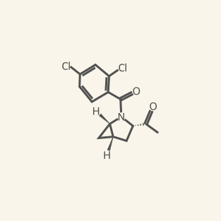 CC(=O)[C@@H]1C[C@@H]2C[C@@H]2N1C(=O)c1ccc(Cl)cc1Cl